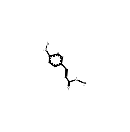 CCC(C)OC(=O)C=Cc1ccc(OC(C)C)cc1